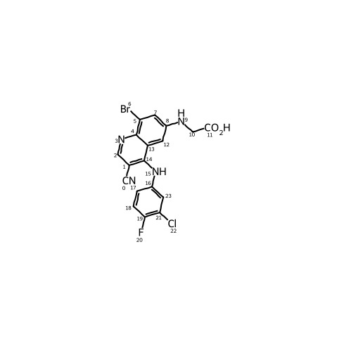 N#Cc1cnc2c(Br)cc(NCC(=O)O)cc2c1Nc1ccc(F)c(Cl)c1